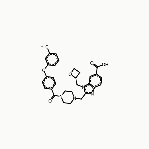 Cc1cccc(Oc2ccc(C(=O)N3CCN(Cc4nc5ccc(C(=O)O)cc5n4C[C@@H]4CCO4)CC3)cc2)c1